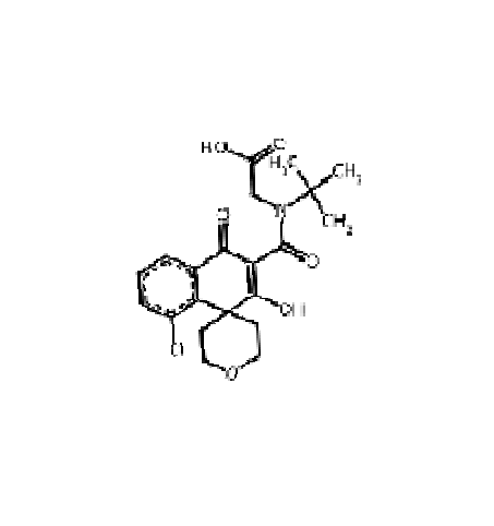 CC(C)(C)N(CC(=O)O)C(=O)C1=C(O)C2(CCOCC2)c2c(Cl)cccc2C1=O